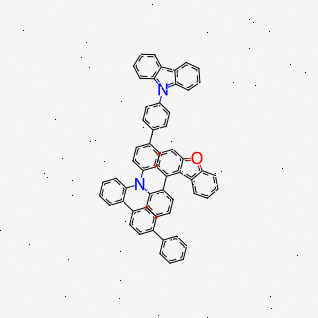 c1ccc(-c2ccc(-c3ccccc3N(c3ccc(-c4ccc(-n5c6ccccc6c6ccccc65)cc4)cc3)c3ccccc3-c3cccc4oc5ccccc5c34)cc2)cc1